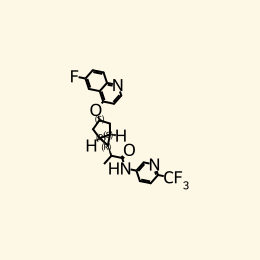 CC(C(=O)Nc1ccc(C(F)(F)F)nc1)[C@H]1[C@@H]2C[C@@H](Oc3ccnc4ccc(F)cc34)C[C@@H]21